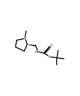 CN1CCC[C@@H]1CNC(=O)OC(C)(C)C